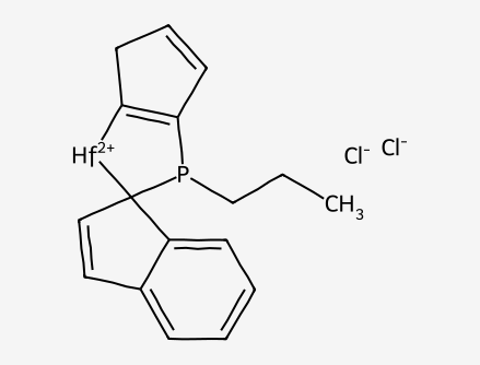 CCCP1C2=[C](CC=C2)[Hf+2][C]12C=Cc1ccccc12.[Cl-].[Cl-]